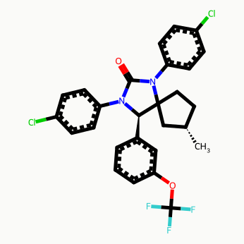 C[C@H]1CCC2(C1)[C@@H](c1cccc(OC(F)(F)F)c1)N(c1ccc(Cl)cc1)C(=O)N2c1ccc(Cl)cc1